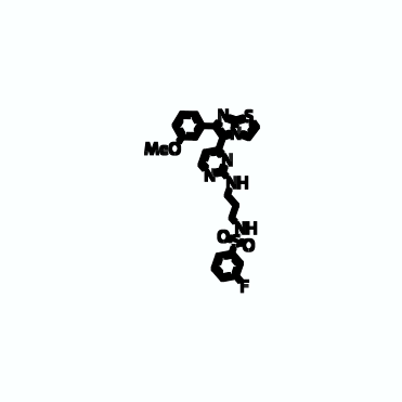 COc1cccc(-c2nc3sccn3c2-c2ccnc(NCCCNS(=O)(=O)c3cccc(F)c3)n2)c1